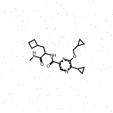 CNC(=O)C(CC1CCC1)NC(=O)c1cnc(C2CC2)c(OCC2CC2)n1